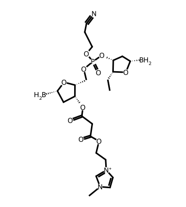 B[C@H]1C[C@@H](OC(=O)CC(=O)OCC[n+]2ccn(C)c2)[C@@H](COP(=O)(OCCC#N)O[C@@H]2C[C@H](B)O[C@@H]2CC)O1